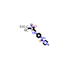 CCOC(=O)C(C#N)=c1sc(=CNc2ccc(NC(=S)N3CCN(C)CC3)cc2)c(=O)n1CC